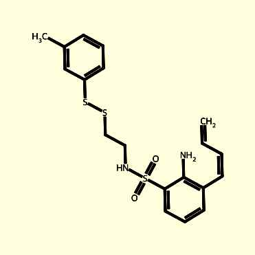 C=C/C=C\c1cccc(S(=O)(=O)NCCSSc2cccc(C)c2)c1N